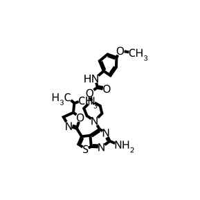 COc1ccc(NC(=O)ON2CCN(c3nc(N)nc4scc(C5=NCC(C(C)C)O5)c34)CC2)cc1